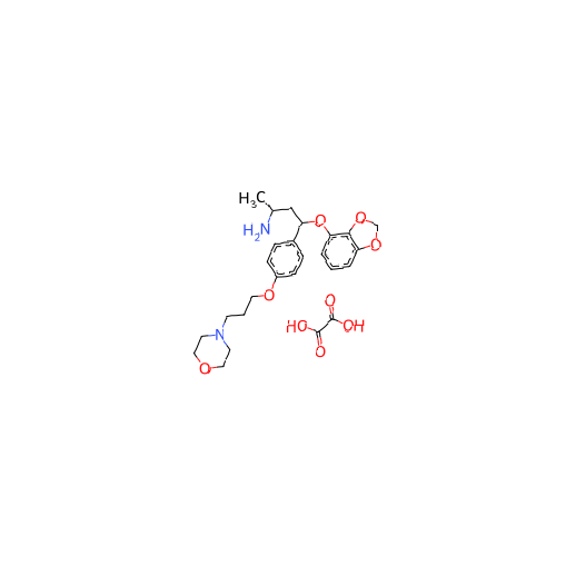 CC(N)CC(Oc1cccc2c1OCO2)c1ccc(OCCCN2CCOCC2)cc1.O=C(O)C(=O)O